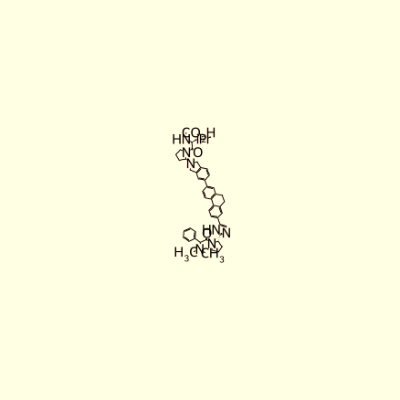 CC(C)[C@H](NC(=O)O)C(=O)N1CCC[C@@H]1N1Cc2ccc(-c3ccc4c(c3)CCc3cc(-c5cnc([C@@H]6CCCN6C(=O)C(c6ccccc6)N(C)C)[nH]5)ccc3-4)cc2C1